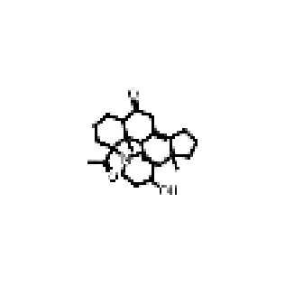 CC(=O)C1(N2CCC(O)CC2)CCCC2C(=O)CC3=C4CCCC4(C)CCC3C21C